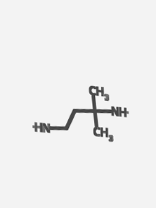 CC(C)([NH])CC[NH]